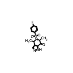 CC1C(=O)c2[nH]ncc2C(C)N1S(=O)(=O)c1ccc(F)cc1